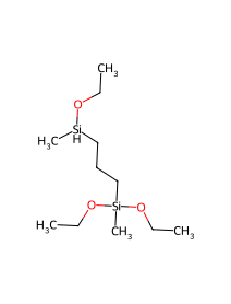 CCO[SiH](C)CCC[Si](C)(OCC)OCC